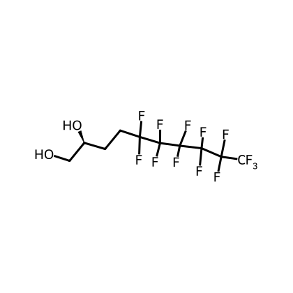 OC[C@@H](O)CCC(F)(F)C(F)(F)C(F)(F)C(F)(F)C(F)(F)C(F)(F)F